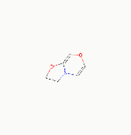 C1=CN2CCOC2=CO1